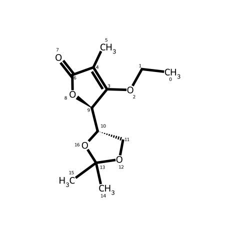 CCOC1=C(C)C(=O)O[C@@H]1[C@@H]1COC(C)(C)O1